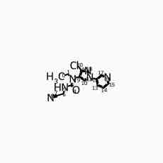 CCN(C(=O)NCC#N)c1cn(-c2cccnc2)nc1Cl